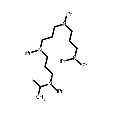 CC(C)N(CCCN(CCCN(C(C)C)C(C)I)C(C)C)CCCN(C(C)C)C(C)C